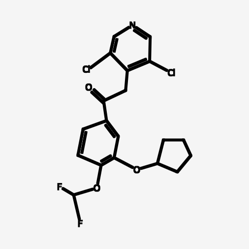 O=C(Cc1c(Cl)cncc1Cl)c1ccc(OC(F)F)c(OC2CCCC2)c1